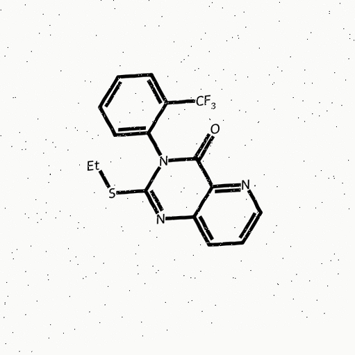 CCSc1nc2cccnc2c(=O)n1-c1ccccc1C(F)(F)F